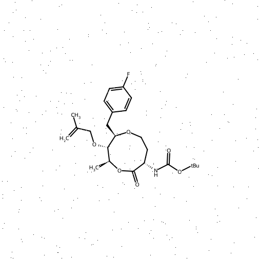 C=C(C)CO[C@H]1[C@H](C)OC(=O)[C@@H](NC(=O)OC(C)(C)C)CCO[C@@H]1Cc1ccc(F)cc1